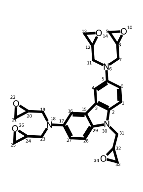 c1cc2c(cc1N(CC1CO1)CC1CO1)c1cc(N(CC3CO3)CC3CO3)ccc1n2CC1CO1